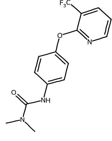 CN(C)C(=O)Nc1ccc(Oc2ncccc2C(F)(F)F)cc1